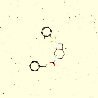 O=C(OCc1ccccc1)N1CC[C@H]2CN(S(=O)(=O)c3ccccc3[N+](=O)[O-])[C@H]2C1